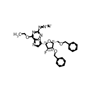 CCOc1nc(N=[N+]=[N-])nn2c([C@@H]3O[C@H](COCc4ccccc4)[C@@H](OCc4ccccc4)[C@H]3F)cnc12